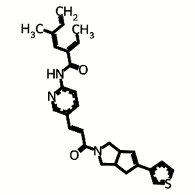 C=C/C(C)=C\C(=C/C)C(=O)Nc1ccc(/C=C/C(=O)N2CC3C=C(c4ccsc4)CC3C2)cn1